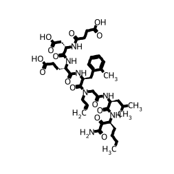 C=CCN(CC(=O)N[C@@H](CC(C)C)C(=O)N[C@@H](CCCC)C(=O)C(N)=O)C(=O)[C@H](Cc1ccccc1C)NC(=O)[C@H](CCC(=O)O)NC(=O)[C@H](CC(=O)O)NC(=O)CCC(=O)O